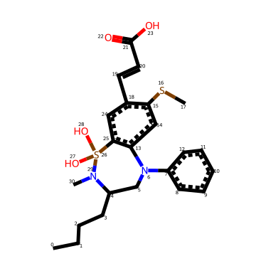 CCCCC1CN(c2ccccc2)c2cc(SC)c(/C=C/C(=O)O)cc2S(O)(O)N1C